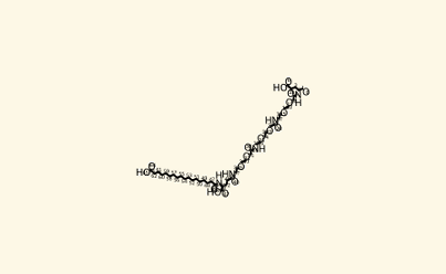 O=CC(CCC(=O)O)NC(=O)COCCOCCNC(=O)COCCOCCNC(=O)COCCOCCNC(=O)CC[C@H](NC(=O)CCCCCCCCCCCCCCCCC(=O)O)C(=O)O